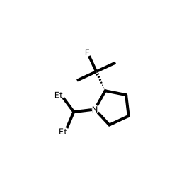 CCC(CC)N1CCC[C@H]1C(C)(C)F